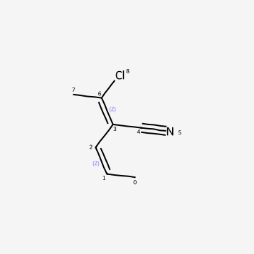 C/C=C\C(C#N)=C(/C)Cl